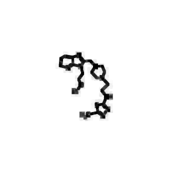 CCOCCn1c(CN2CCN(CCNc3nnc(C)s3)CC2)nc2cccnc21